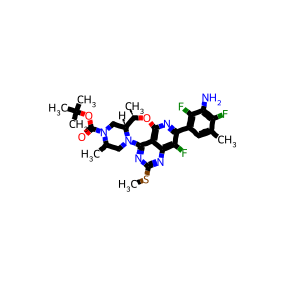 CSc1nc2c3c(nc(-c4cc(C)c(F)c(N)c4F)c(F)c3n1)O[C@@H](C)[C@@H]1CN(C(=O)OC(C)(C)C)C(C)CN21